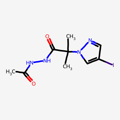 CC(=O)NNC(=O)C(C)(C)n1cc(I)cn1